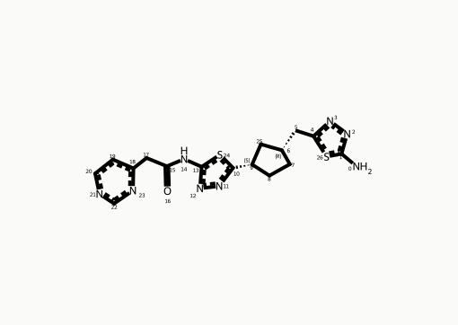 Nc1nnc(C[C@@H]2CC[C@H](c3nnc(NC(=O)Cc4ccncn4)s3)C2)s1